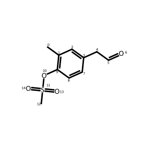 Cc1cc(CC=O)ccc1OS(C)(=O)=O